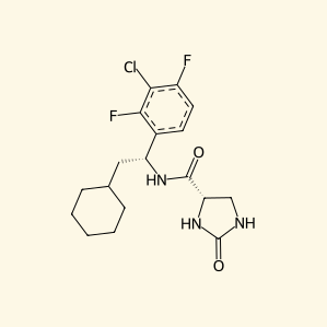 O=C1NC[C@@H](C(=O)N[C@H](CC2CCCCC2)c2ccc(F)c(Cl)c2F)N1